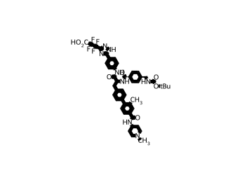 Cc1cc(C(=O)NC2CCN(C)CC2)ccc1-c1ccc(CC(NC(=O)[C@H]2CC[C@H](CNC(=O)OC(C)(C)C)CC2)C(=O)Nc2ccc(-c3nc(C(F)(F)C(F)(F)C(=O)O)n[nH]3)cc2)cc1